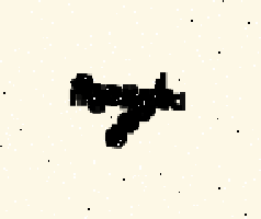 O=C(Nc1ccc(Cl)cc1CI)N[C@@H](CC(=O)N1CCC(N2Cc3ccccc3NC2=O)CC1)C(=O)N1CCC(N2CCCCC2)CC1